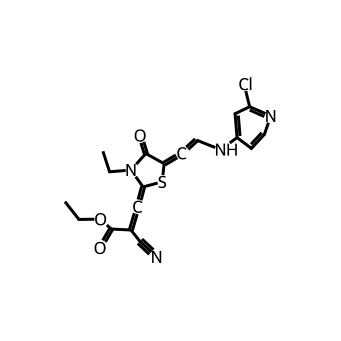 CCOC(=O)C(=C=c1sc(=C=CNc2ccnc(Cl)c2)c(=O)n1CC)C#N